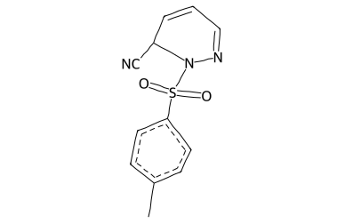 Cc1ccc(S(=O)(=O)N2N=CC=CC2C#N)cc1